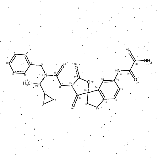 C[C@@H](C1CC1)N(Cc1ccccc1)C(=O)CN1C(=O)OC2(CCc3ccc(NC(=O)C(N)=O)cc32)C1=O